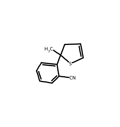 CC1(c2ccccc2C#N)CC=CS1